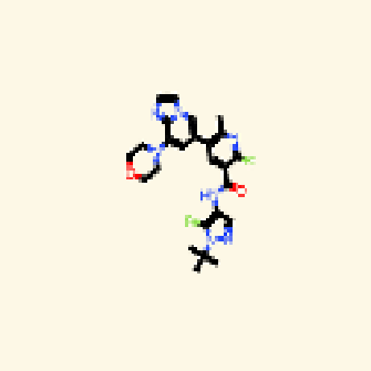 Cc1nc(F)c(C(=O)Nc2cnn(C(C)(C)C)c2F)cc1-c1cc(N2CCOCC2)c2nccn2c1